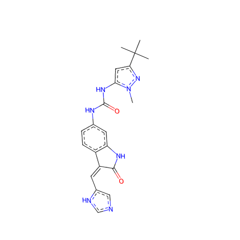 Cn1nc(C(C)(C)C)cc1NC(=O)Nc1ccc2c(c1)NC(=O)/C2=C\c1cnc[nH]1